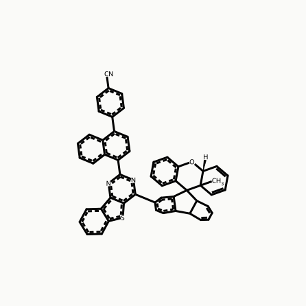 CC12C=CC=C[C@H]1Oc1ccccc1C21c2cc(-c3nc(-c4ccc(-c5ccc(C#N)cc5)c5ccccc45)nc4c3sc3ccccc34)ccc2C2C=CC=CC21